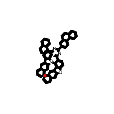 c1ccc2cc3c(cc2c1)oc1ccc(-c2nc(-c4ccc5c(ccc6ccccc65)c4)nc(-c4cccc5ccccc45)n2)c(-n2c4ccccc4c4cc5ccccc5cc42)c13